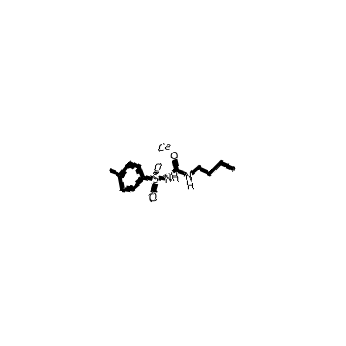 CCCCNC(=O)NS(=O)(=O)c1ccc(C)cc1.[Ce]